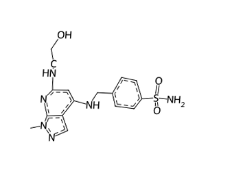 Cn1ncc2c(NCc3ccc(S(N)(=O)=O)cc3)cc(NCCO)nc21